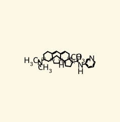 CN(C)[C@H]1CCC2=CC3=CC[C@]4(C)[C@@H](C(=O)Nc5cccnc5)CC[C@H]4[C@@]34CC[C@]2(C1)C4